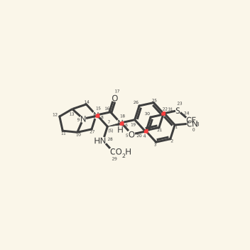 N#Cc1ccc(OC[C@H](CN2C3CCC2CN(C(=O)Nc2ccc(SC(F)(F)F)cc2)C3)NC(=O)O)cc1